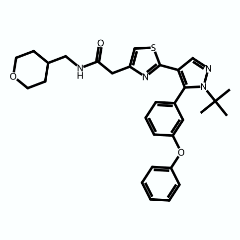 CC(C)(C)n1ncc(-c2nc(CC(=O)NCC3CCOCC3)cs2)c1-c1cccc(Oc2ccccc2)c1